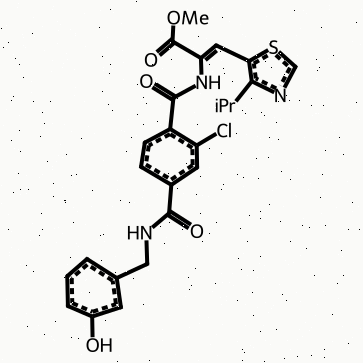 COC(=O)/C(=C/c1scnc1C(C)C)NC(=O)c1ccc(C(=O)NCc2cccc(O)c2)cc1Cl